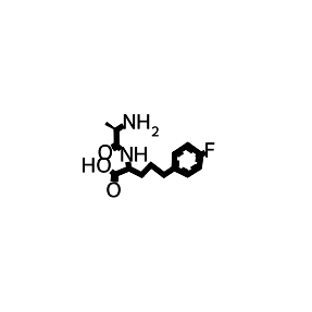 C[C@@H](N)C(=O)NC(CCCc1ccc(F)cc1)C(=O)O